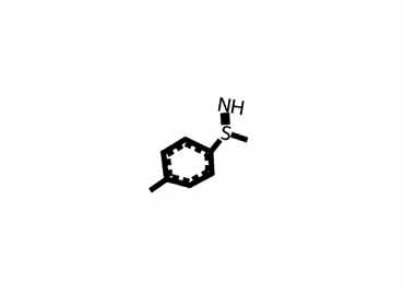 Cc1ccc(S(C)=N)cc1